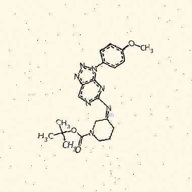 COc1ccc(-n2nnc3cnc(/N=C4/CCCN(C(=O)OC(C)(C)C)C4)nc32)cc1